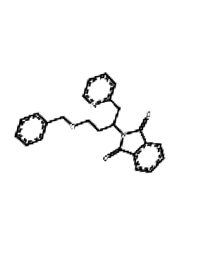 O=C1c2ccccc2C(=O)N1C(CCOCc1ccccc1)Cc1ccccn1